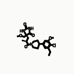 CCc1cc(C2CCN(C(=O)[C@@H](C)C[C@@]3(COC)NC(=O)NC3=O)CC2)cc(OC)c1Cl